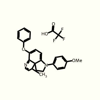 COc1ccc(N2CCC34C2=CC=C(Oc2ccccc2)C3=NC=CC4C)cc1.O=C(O)C(F)(F)F